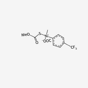 COC(=O)S[N+](C)(C(=O)[O-])c1ccc(C(F)(F)F)cc1